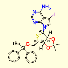 CC1(C)O[C@@H]2[C@H](O1)[C@@H](CO[Si](c1ccccc1)(c1ccccc1)C(C)(C)C)S[C@H]2n1cc(I)c2c(N)ncnc21